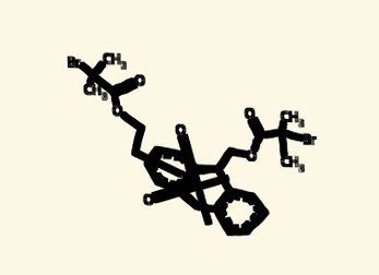 CC(C)(Br)C(=O)OCCN1C(=O)C2C3c4ccccc4C(COC(=O)C(C)(C)Br)(c4ccccc43)C2C1=O